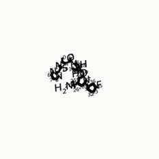 Cc1nc(-c2ncccn2)sc1C(=O)N1C[C@@H]2[C@H](C1)[C@@H]2Oc1cc(C(C)(C)N)cc(-c2cccc(F)c2)n1